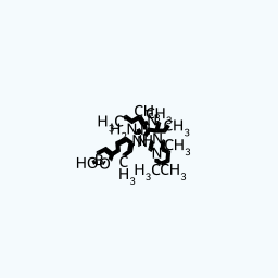 CC/C=C(\C=C/CC1=CCB(O)OC1)N/C(N)=N/C(=C(/C)CCC)N(C)CC(CC)(CC#N)N1CCN2CC(C)(C)CCC2(C)C1